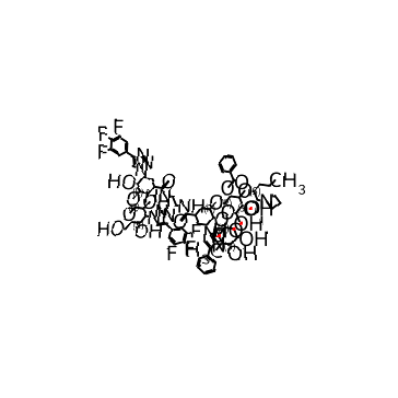 CCC[C@H](OC1C(OC(=O)c2ccccc2)[C@H](O[C@@H]2CC(C(=O)NCCNC(=O)C3CC(n4cc(-c5cc(F)c(F)c(F)c5)nn4)C(O)[C@H](O[C@@H]4OC(CO)[C@H](O)C(n5cc(-c6cc(F)c(F)c(F)c6)nn5)C4O)C3)CC(n3cc(-c4ccccc4)nn3)C2O[C@@H]2OC(C)[C@@H](O)C(O)C2O)OC(CO)[C@@H]1O)C(=O)N1CCC1